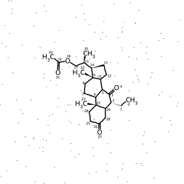 CC[C@H]1C(=O)C2C(CC[C@@]3(C)C2CC[C@@H]3[C@H](C)COC(C)=O)[C@@]2(C)CCC(=O)CC12